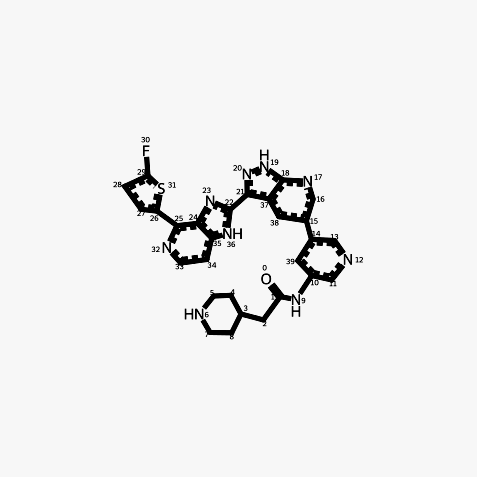 O=C(CC1CCNCC1)Nc1cncc(-c2cnc3[nH]nc(-c4nc5c(-c6ccc(F)s6)nccc5[nH]4)c3c2)c1